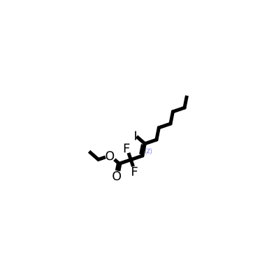 CCCCCC/C(I)=C/C(F)(F)C(=O)OCC